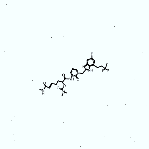 CNC(=O)C=CCCC(OC(=O)N(C)C)C(=O)Nc1cccn(Cc2nc3cc(F)cc(CCC(F)(F)F)c3[nH]2)c1=O